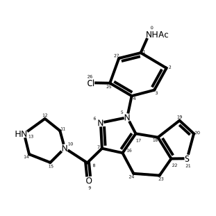 CC(=O)Nc1ccc(-n2nc(C(=O)N3CCNCC3)c3c2-c2ccsc2CC3)c(Cl)c1